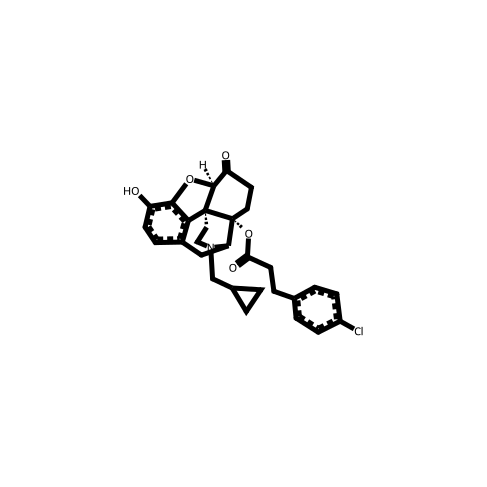 O=C(CCc1ccc(Cl)cc1)O[C@@]12CCC(=O)[C@@H]3Oc4c(O)ccc5c4[C@@]31CCN(CC1CC1)C2C5